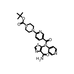 CC(C)(C)OC(=O)N1CCN(c2ccc(C(=O)N(c3ccncc3)c3scnc3C(N)=O)cn2)CC1